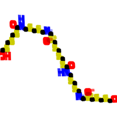 O=C(NCSCSC/N=C\[S+]([O-])CSCSCSC(=O)NCSCSC/N=C\[S+]([O-])CSCSCO)SCSCSCO